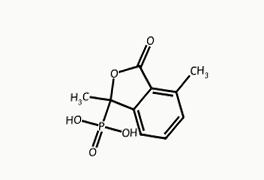 Cc1cccc2c1C(=O)OC2(C)P(=O)(O)O